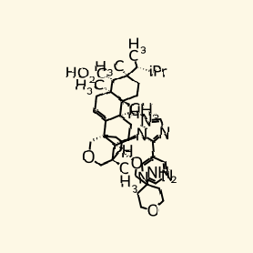 CC(C)[C@@H](C)[C@@]1(C)CC[C@]2(C)[C@H]3CC[C@@H]4[C@@]5(COC[C@@]4(C)[C@@H](OCC4(N)CCOCC4)[C@H](n4ncnc4-c4cncnc4)C5)C3=CC[C@@]2(C)[C@@H]1C(=O)O